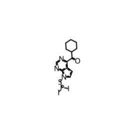 O=C(c1ncnc2c1ccn2SP(I)I)C1CCCCC1